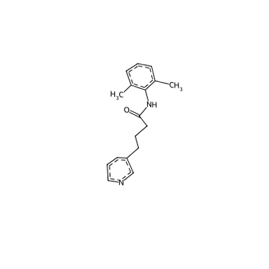 Cc1cccc(C)c1NC(=O)CCCc1cccnc1